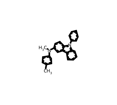 Cc1ccc(N(C)c2ccc3c(c2)c2ccccc2n3-c2ccccc2)cc1